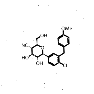 COc1ccc(Cc2cc([C@@H]3O[C@H](CO)[C@@H](C#N)[C@H](O)[C@H]3O)ccc2Cl)cc1